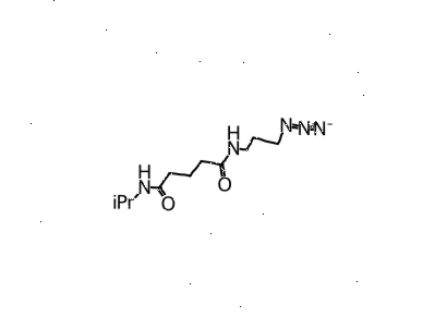 CC(C)NC(=O)CCCC(=O)NCCCN=[N+]=[N-]